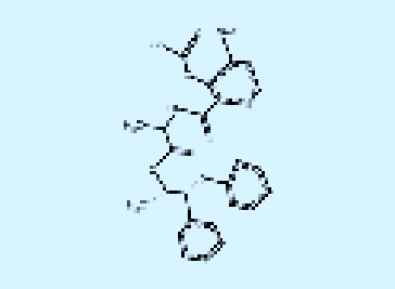 COc1ccnc(C(=O)NC(C)C(=O)O[C@@H](C)[C@H](Sc2ccccc2)c2ccccc2)c1OC(=O)C(C)C